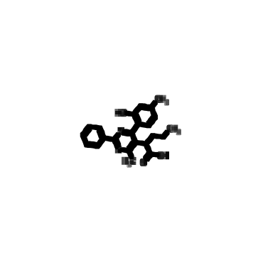 CCCC(C(=O)O)c1c(C)nc(-c2ccccc2)nc1-c1ccc(C)cc1O